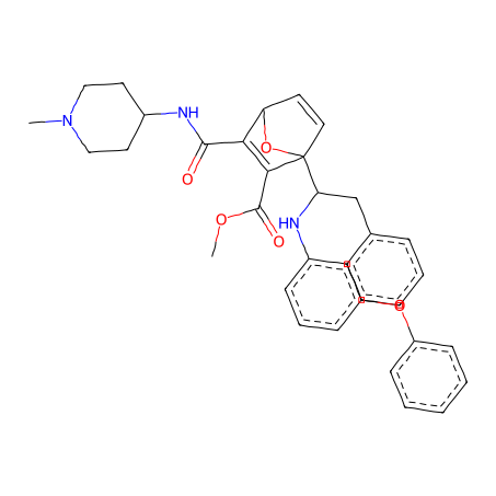 COC(=O)C1=C(C(=O)NC2CCN(C)CC2)C2C=CC1(C(Cc1ccccc1)Nc1cccc(Oc3ccccc3)c1)O2